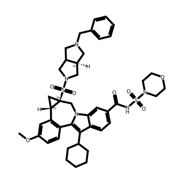 COc1ccc2c(c1)[C@@H]1C[C@]1(S(=O)(=O)N1CC3CN(Cc4ccccc4)C[C@H]3C1)Cn1c-2c(C2CCCCC2)c2ccc(C(=O)NS(=O)(=O)N3CCOCC3)cc21